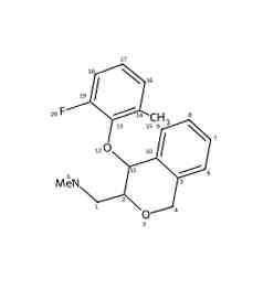 CNCC1OCc2ccccc2C1Oc1c(C)cccc1F